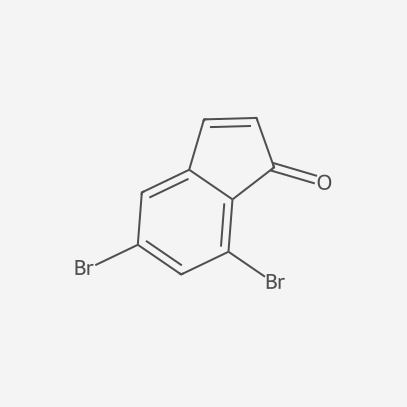 O=C1C=Cc2cc(Br)cc(Br)c21